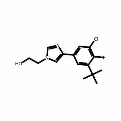 CC(C)(C)c1cc(-c2cn(CCO)cn2)cc(Cl)c1F